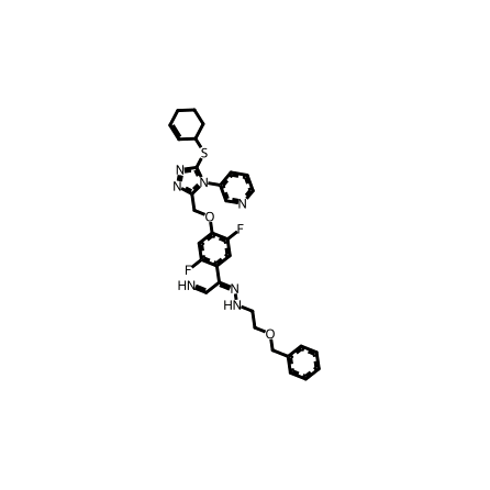 N=C/C(=N\NCCOCc1ccccc1)c1cc(F)c(OCc2nnc(SC3C=CCCC3)n2-c2cccnc2)cc1F